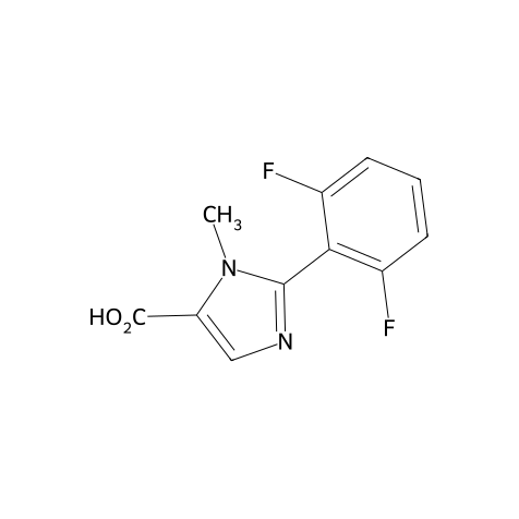 Cn1c(C(=O)O)cnc1-c1c(F)cccc1F